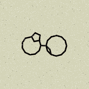 C1CCCCC2CC(C3CCCCCCCC4CC[C]3C4)(CCCC1)C2